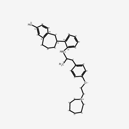 CC(Cc1ccc(OCCN2CCCCCC2)cc1)Nc1ccccc1C1CCCc2cc(O)ccc2C1